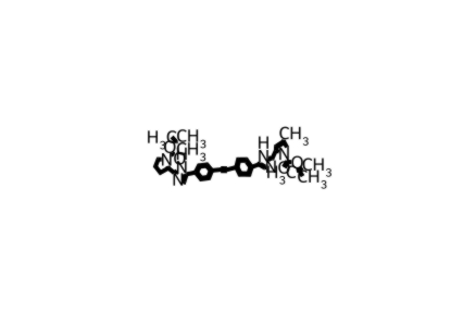 CC1=CC(c2ncc(-c3ccc(C#Cc4ccc(-c5cnc(C6CCCN6C(=O)OC(C)(C)C)[nH]5)cc4)cc3)[nH]2)N(C(=O)OC(C)(C)C)C1